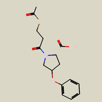 CC(=O)SCCC(=O)N1CC(Oc2ccccc2)C[C@H]1C(=O)O